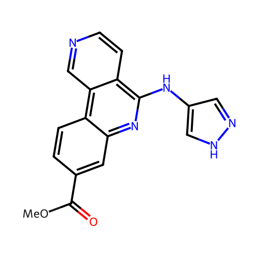 COC(=O)c1ccc2c(c1)nc(Nc1cn[nH]c1)c1ccncc12